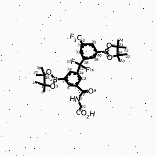 CC1(C)OB(c2cc(C(=O)NCC(=O)O)cc(C(F)(F)c3cc(B4OC(C)(C)C(C)(C)O4)cc(C(F)(F)F)c3)c2)OC1(C)C